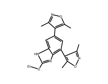 CCOc1nc2c(-c3c(C)noc3C)cc(-c3c(C)noc3C)cc2[nH]1